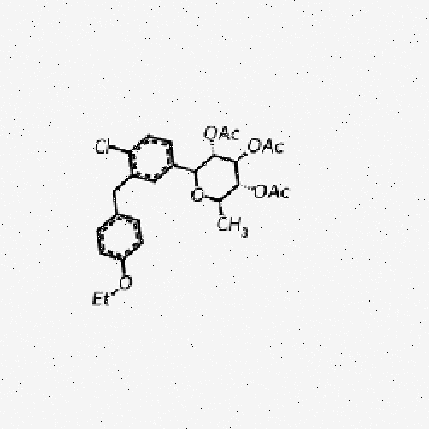 CCOc1ccc(Cc2cc([C@@H]3O[C@H](C)[C@@H](OC(C)=O)[C@H](OC(C)=O)[C@H]3OC(C)=O)ccc2Cl)cc1